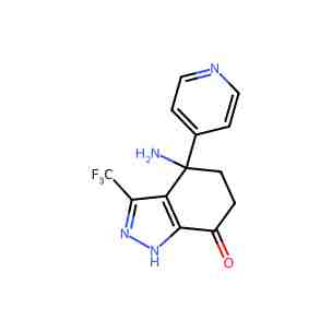 NC1(c2ccncc2)CCC(=O)c2[nH]nc(C(F)(F)F)c21